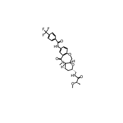 CO[C@H](C)C(=O)NC[C@@H]1CC[C@H]2[C@H](COc3ccc(NC(=O)c4ccc(C(F)(F)F)cc4)cc3C(=O)N2C)O1